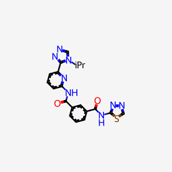 CC(C)n1cnnc1-c1cccc(NC(=O)c2cccc(C(=O)Nc3nncs3)c2)n1